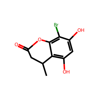 CC1CC(=O)Oc2c(Br)c(O)cc(O)c21